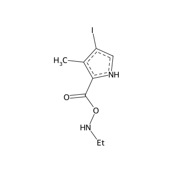 CCNOC(=O)c1[nH]cc(I)c1C